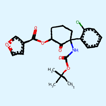 CC(C)(C)OC(=O)NC1(c2ccccc2Cl)CCCC(OC(=O)c2ccoc2)C1=O